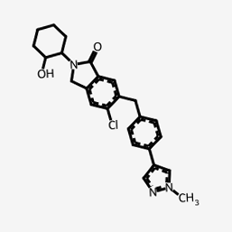 Cn1cc(-c2ccc(Cc3cc4c(cc3Cl)CN(C3CCCCC3O)C4=O)cc2)cn1